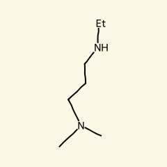 CCNCCCN(C)C